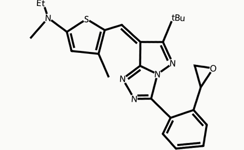 CCN(C)c1cc(C)c(/C=c2/c(C(C)(C)C)nn3c(-c4ccccc4C4CO4)nnc23)s1